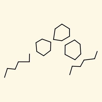 C1CCCCC1.C1CCCCC1.C1CCCCC1.CCCCCC.CCCCCC